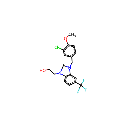 COc1ccc(CN2[CH]N(CCO)c3ccc(C(F)(F)F)cc32)cc1Cl